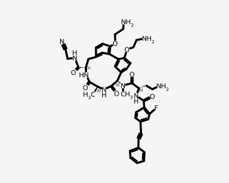 C[C@@H]1NC(=O)[C@@H](N(C)C(=O)[C@H](CCN)NC(=O)c2ccc(C#Cc3ccccc3)cc2F)c2ccc(OCCN)c(c2)-c2cc(ccc2OCCN)C[C@@H](C(=O)NCC#N)NC1=O